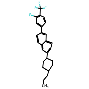 CCCC1CCC(c2ccc3cc(-c4ccc(C(F)(F)F)c(F)c4)ccc3c2)CC1